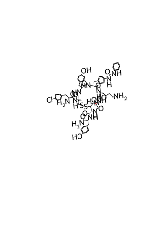 NCCCC[C@@H]1NC(=O)[C@@H](Cc2ccc(NC(=O)Nc3ccccc3)cc2)NC(=O)[C@H](Cc2ccc(O)cc2)NC(=O)[C@H](NC(=O)[C@@H](N)Cc2ccc(Cl)cc2)CSSC2[C@@H](C(=O)N[C@H](Cc3ccc(O)cc3)C(N)=O)NC(=O)[C@@H](NC1=O)[C@@H]2O